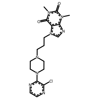 Cn1c(=O)c2c(ncn2CCCN2CCN(c3nccnc3Cl)CC2)n(C)c1=O